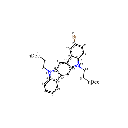 CCCCCCCCCCCCn1c2ccccc2c2cc3c(cc21)c1cc(Br)ccc1n3CCCCCCCCCCCC